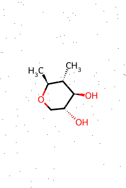 C[C@@H]1[C@@H](O)[C@H](O)CO[C@H]1C